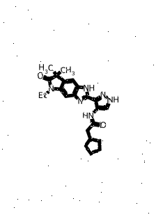 CCN1C(=O)C(C)(C)c2cc3[nH]c(-c4n[nH]cc4NC(=O)CC4CCCC4)nc3cc21